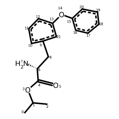 CC(C)OC(=O)[C@H](N)Cc1cccc(Oc2ccccc2)c1